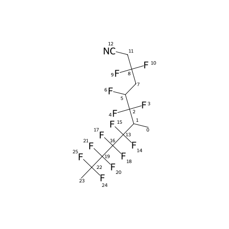 CC(C(F)(F)C(F)CC(F)(F)CC#N)C(F)(F)C(F)(F)C(F)(F)C(C)(F)F